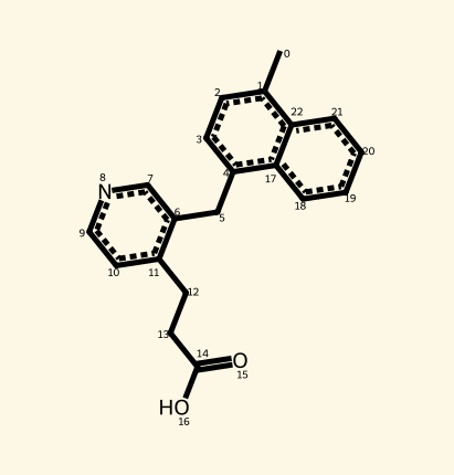 Cc1ccc(Cc2cnccc2CCC(=O)O)c2ccccc12